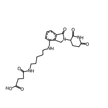 O=C(O)CCC(=O)NCCCCCNc1cccc2c1CN(C1CCC(=O)NC1=O)C2=O